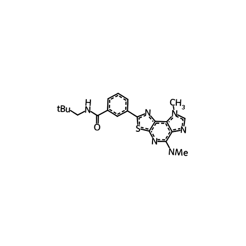 CNc1nc2sc(-c3cccc(C(=O)NCC(C)(C)C)c3)nc2c2c1ncn2C